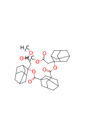 COC(=O)CC1(OC(=O)C23CC4CC(C2)CC(C(=O)OC2(CC(=O)OC)C5CC6CC(C5)CC2C6)(C4)C3)C2CC3CC(C2)CC1C3